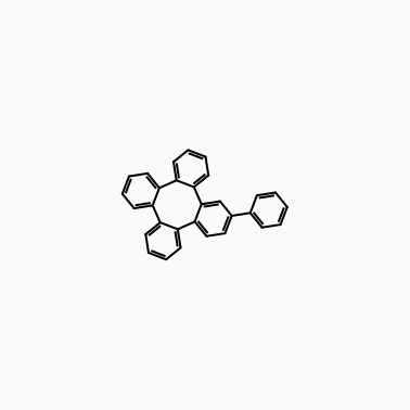 c1ccc(-c2ccc3c(c2)-c2ccccc2-c2ccccc2-c2ccccc2-3)cc1